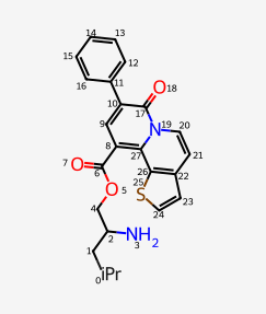 CC(C)CC(N)COC(=O)c1cc(-c2ccccc2)c(=O)n2ccc3ccsc3c12